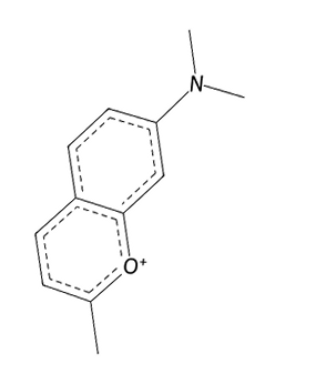 Cc1ccc2ccc(N(C)C)cc2[o+]1